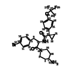 NC1CCN(C(=O)C(Cc2ccc(Br)cc2)NC(=O)C2(c3ccc(OC(F)(F)F)cc3)CC2)CC1